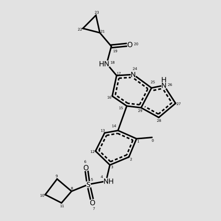 Cc1cc(NS(=O)(=O)C2CCC2)ccc1-c1cc(NC(=O)C2CC2)nc2[nH]ccc12